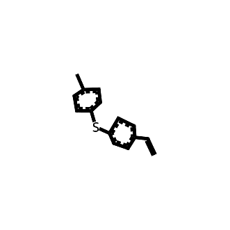 C=Cc1ccc(Sc2ccc(C)cc2)cc1